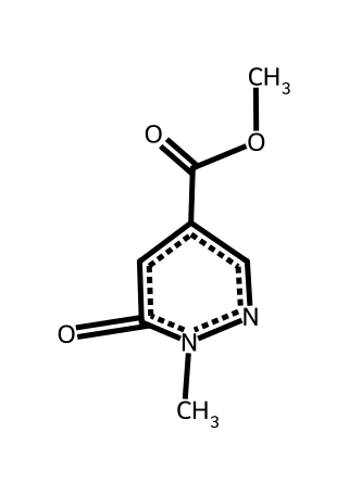 COC(=O)c1cnn(C)c(=O)c1